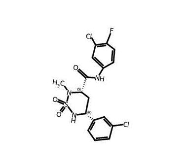 CN1[C@H](C(=O)Nc2ccc(F)c(Cl)c2)C[C@H](c2cccc(Cl)c2)NS1(=O)=O